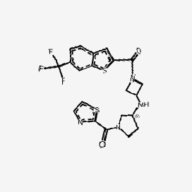 O=C(c1cc2ccc(C(F)(F)F)cc2s1)N1CC(N[C@H]2CCN(C(=O)c3nccs3)C2)C1